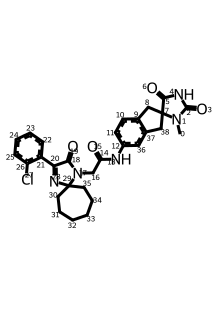 CN1C(=O)NC(=O)C12Cc1ccc(NC(=O)CN3C(=O)C(c4ccccc4Cl)=NC34CCCCCC4)cc1C2